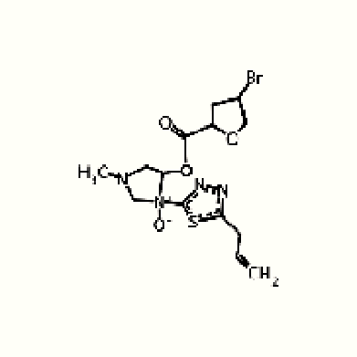 C=CCc1nnc([N+]2([O-])CN(C)CC2OC(=O)C2CC(Br)CO2)s1